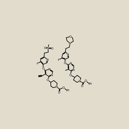 C#Cc1c(Oc2cnc(CCS(C)(=O)=O)cc2F)ncnc1OC1CCN(C(=O)OC(C)C)CC1.Cc1c(Oc2cnc(CCN3CCOCC3)cc2F)ncnc1OC1CCN(C(=O)OC(C)C)CC1